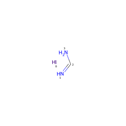 I.N=CN